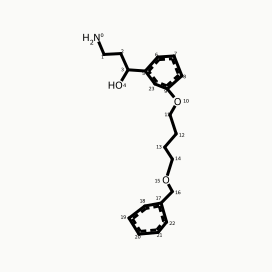 NCCC(O)c1cccc(OCCCCOCc2ccccc2)c1